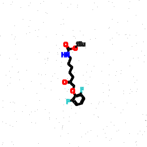 CC(C)(C)OC(=O)NCCCCCC(=O)COc1c(F)cccc1F